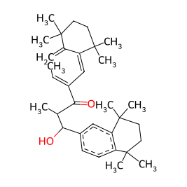 C=C1/C(=C\C(=C/C)C(=O)C(C)C(O)c2ccc3c(c2)C(C)(C)CCC3(C)C)C(C)(C)CCC1(C)C